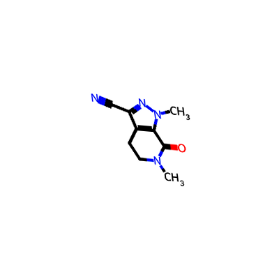 CN1CCc2c(C#N)nn(C)c2C1=O